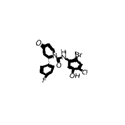 O=C1C=CN(C(=O)Nc2cc(O)c(Cl)cc2Br)[C@H](c2ccc(F)cc2)C1